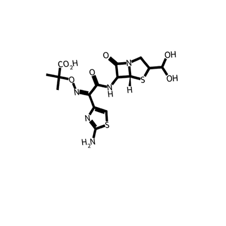 CC(C)(O/N=C(\C(=O)NC1C(=O)N2CC(C(O)O)S[C@H]12)c1csc(N)n1)C(=O)O